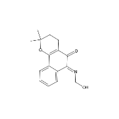 CC1(C)CCC2=C(O1)c1ccccc1/C(=N\CO)C2=O